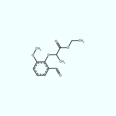 CCOC(=O)C(C)Oc1c(C=O)cccc1OC